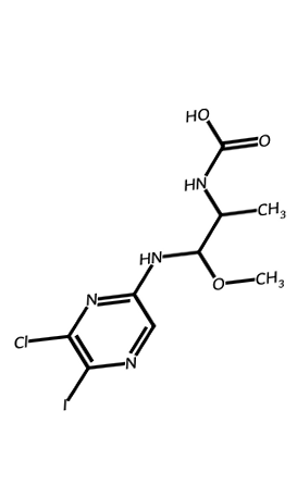 COC(Nc1cnc(I)c(Cl)n1)C(C)NC(=O)O